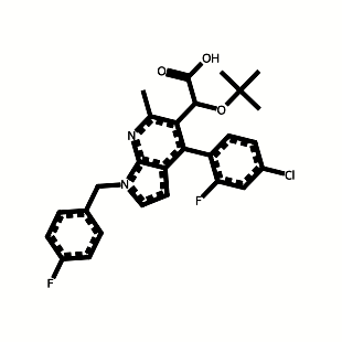 Cc1nc2c(ccn2Cc2ccc(F)cc2)c(-c2ccc(Cl)cc2F)c1C(OC(C)(C)C)C(=O)O